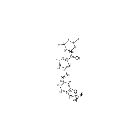 CC1CC(C)CN(C(=O)c2cccc(CSc3cccc(OC(F)(F)F)c3)n2)C1